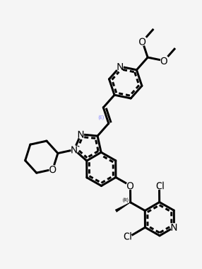 COC(OC)c1ccc(/C=C/c2nn(C3CCCCO3)c3ccc(O[C@H](C)c4c(Cl)cncc4Cl)cc23)cn1